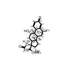 CCC(=O)O[C@]1(C(=S)OC)[C@@H](C)C[C@H]2[C@@H]3C[C@H](F)C4=CC(=O)C=C[C@]4(C)[C@H]3[C@@H](O)C[C@@]21C